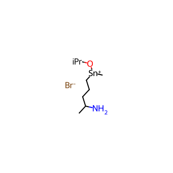 CC(N)CC[CH2][Sn+]([CH3])[O]C(C)C.[Br-]